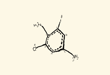 Nc1cc(Cl)c(N)c(I)c1